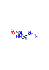 CC(=O)OCC(C)(C)c1cnnc(Nc2ccc3ncc(-c4cnn(CCCN5CCCC5)c4)cc3n2)c1